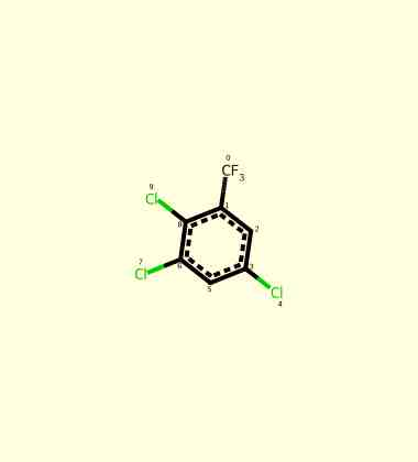 FC(F)(F)c1cc(Cl)cc(Cl)c1Cl